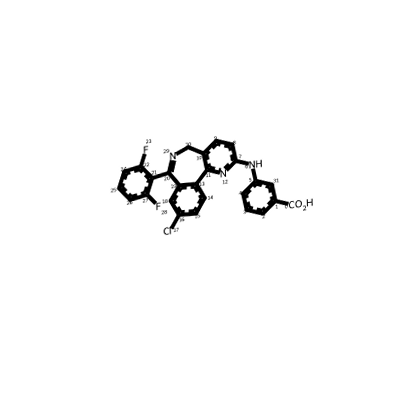 O=C(O)c1cccc(Nc2ccc3c(n2)-c2ccc(Cl)cc2C(c2c(F)cccc2F)=NC3)c1